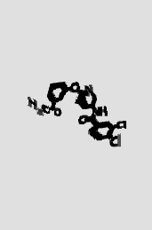 CC(=O)c1cccc(Oc2ccc(NC(=O)c3ccc(Cl)c(Cl)c3)cn2)c1